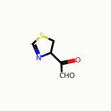 O=CC(=O)C1CS[C]=N1